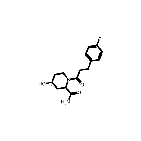 NC(=O)C1C[C@@H](O)CCN1C(=O)[CH]Cc1ccc(F)cc1